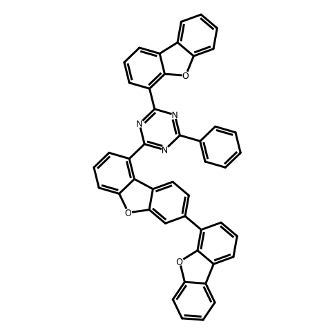 c1ccc(-c2nc(-c3cccc4c3oc3ccccc34)nc(-c3cccc4oc5cc(-c6cccc7c6oc6ccccc67)ccc5c34)n2)cc1